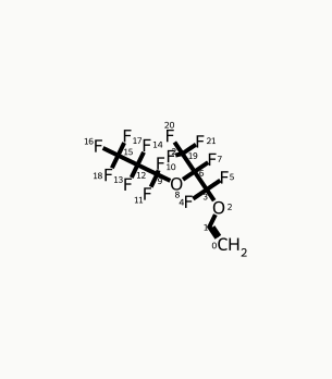 C=COC(F)(F)C(F)(OC(F)(F)C(F)(F)C(F)(F)F)C(F)(F)F